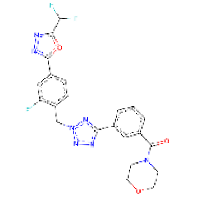 O=C(c1cccc(-c2nnn(Cc3ccc(-c4nnc(C(F)F)o4)cc3F)n2)c1)N1CCOCC1